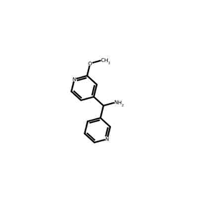 COc1cc(C(N)c2cccnc2)ccn1